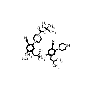 Cc1cc(C#N)c(N2CCN(C(=O)OC(C)(C)C)CC2)cc1CC(C)C.Cc1cc(C#N)c(N2CCNCC2)cc1CC(C)C.Cl